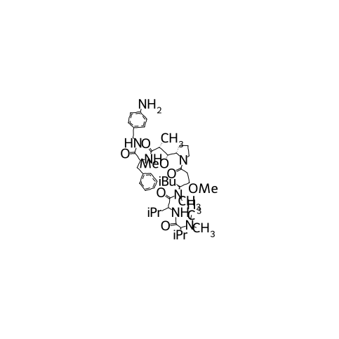 CC[C@H](C)[C@@H]([C@@H](CC(=O)N1CCC[C@H]1[C@H](OC)[C@@H](C)C(=O)NC(Cc1ccccc1)C(=O)NCc1ccc(N)cc1)OC)N(C)C(=O)C(NC(=O)[C@H](C(C)C)N(C)C)C(C)C